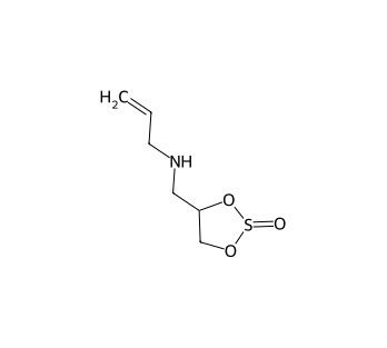 C=CCNCC1COS(=O)O1